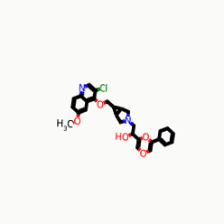 COc1ccc2ncc(Cl)c(OCC3C4CN(CC(O)C5=COC=C(C6=CC=CCC6)O5)CC34)c2c1